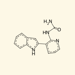 NC(=O)Nc1ncccc1-c1cc2ccccc2[nH]1